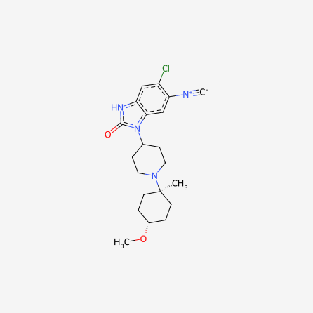 [C-]#[N+]c1cc2c(cc1Cl)[nH]c(=O)n2C1CCN([C@]2(C)CC[C@@H](OC)CC2)CC1